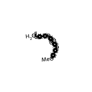 C=C(F)Oc1ccc(-c2ccc(Oc3ccc(S(=O)(=O)c4ccc(Oc5ccc(-c6ccc(OC)cc6)cc5)cc4)cc3)cc2)cc1